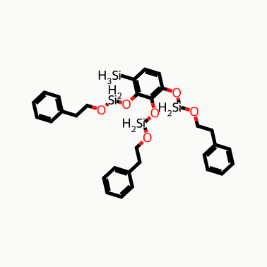 [SiH3]c1ccc(O[SiH2]OCCc2ccccc2)c(O[SiH2]OCCc2ccccc2)c1O[SiH2]OCCc1ccccc1